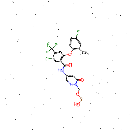 Cc1cc(F)ccc1Oc1cc(C(F)(F)F)c(Cl)cc1C(=O)Nc1cnn(COSO)c(=O)c1